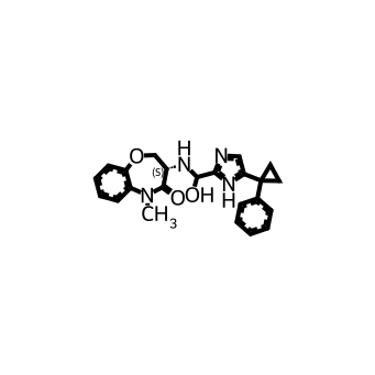 CN1C(=O)[C@@H](NC(O)c2ncc(C3(c4ccccc4)CC3)[nH]2)COc2ccccc21